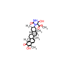 COC(=O)C(CO)N(C(N)=O)C1C[C@]2(C)CC[C@]3(C)C4=CC=C5C(=CC(=O)C(O)=C5C)[C@]4(C)CC[C@@]3(C)[C@@H]2C[C@H]1C